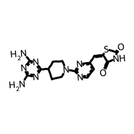 Nc1nc(N)nc(C2CCN(c3nccc(C=C4SC(=O)NC4=O)n3)CC2)n1